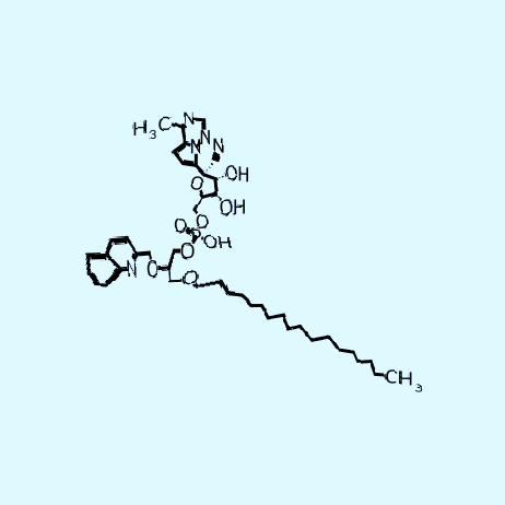 CCCCCCCCCCCCCCCCCCOC[C@H](COP(=O)(O)OC[C@H]1O[C@@](C#N)(c2ccc3c(C)ncnn23)[C@H](O)[C@@H]1O)OCc1ccc2ccccc2n1